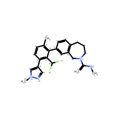 C=C(NC)N1CCCc2ccc(-c3c(C)ccc(-c4cnn(C)c4)c3C(F)F)cc2C1